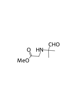 COC(=O)CNC(C)(C)C=O